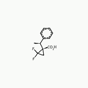 C[C@@H](c1ccccc1)[C@]1(C(=O)O)CC1(F)F